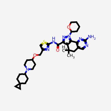 CC1(C)Cc2cnc(N)nc2-c2c1c(C(=O)Nc1nc(COC3CCN(C4CCC5(CC4)CC5)CC3)cs1)nn2C1CCCCO1